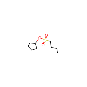 [CH2]CCCS(=O)(=O)OC1CCCC1